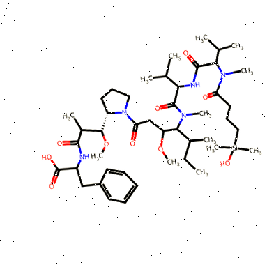 CCC(C)C(C(CC(=O)N1CCC[C@H]1C(OC)C(C)C(=O)NC(Cc1ccccc1)C(=O)O)OC)N(C)C(=O)C(NC(=O)C(C(C)C)N(C)C(=O)CCC[Si](C)(C)O)C(C)C